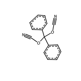 N#COC(OC#N)(c1ccccc1)c1ccccc1